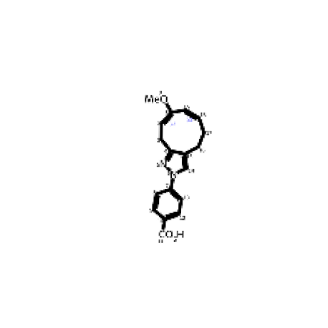 COC1=C/Cc2nn(-c3ccc(C(=O)O)cc3)cc2CC/C=C\1